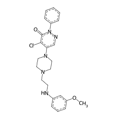 COc1cccc(NCCN2CCN(c3cnn(-c4ccccc4)c(=O)c3Cl)CC2)c1